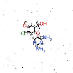 COc1cc(C(C)(C)O)c(Oc2cnc(N)nc2N)cc1Cl